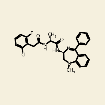 C[C@H](NC(=O)Cc1c(F)cccc1Cl)C(=O)N[C@@H]1CN(C)c2ccccc2C(c2ccccc2)=N1